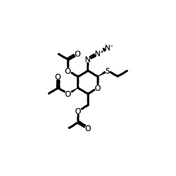 CCS[C@H]1OC(COC(C)=O)[C@@H](OC(C)=O)C(OC(C)=O)C1N=[N+]=[N-]